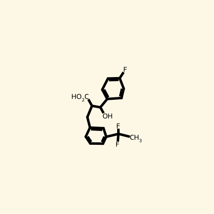 CC(F)(F)c1cccc(CC(C(=O)O)C(O)c2ccc(F)cc2)c1